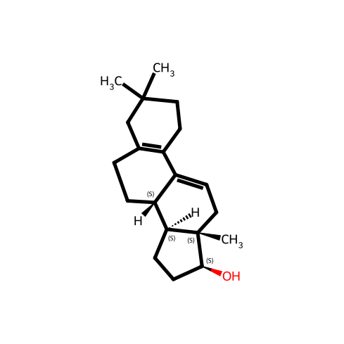 CC1(C)CCC2=C(CC[C@@H]3C2=CC[C@]2(C)[C@@H](O)CC[C@@H]32)C1